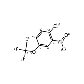 O=[N+]([O-])c1cc(OC(F)(F)F)ccc1Cl